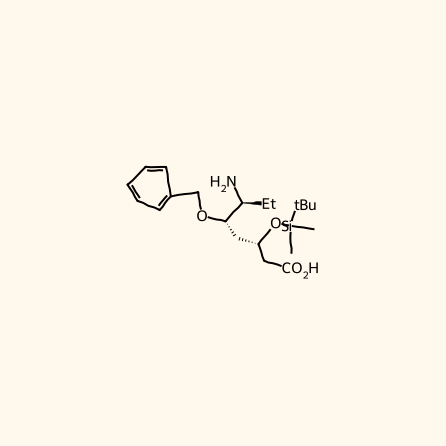 CC[C@H](N)[C@H](C[C@@H](CC(=O)O)O[Si](C)(C)C(C)(C)C)OCc1ccccc1